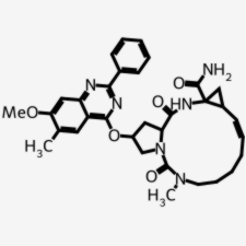 COc1cc2nc(-c3ccccc3)nc(OC3CC4C(=O)NC5(C(N)=O)CC5C=CCCCCN(C)C(=O)N4C3)c2cc1C